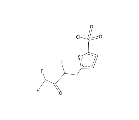 O=C(C(F)F)C(F)Cc1ccc(S(=O)(=O)Cl)s1